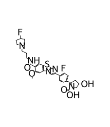 COc1cc2c(cc1C(=O)NCCCN1CCC(F)CC1)sc1nc(-c3ccc([C@H]4C[C@H](O)CN4C(=O)O)cc3F)cn12